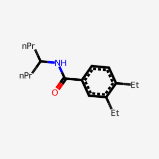 CCCC(CCC)NC(=O)c1ccc(CC)c(CC)c1